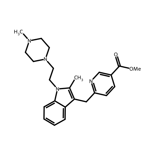 COC(=O)c1ccc(Cc2c(C)n(CCN3CCN(C)CC3)c3ccccc23)nc1